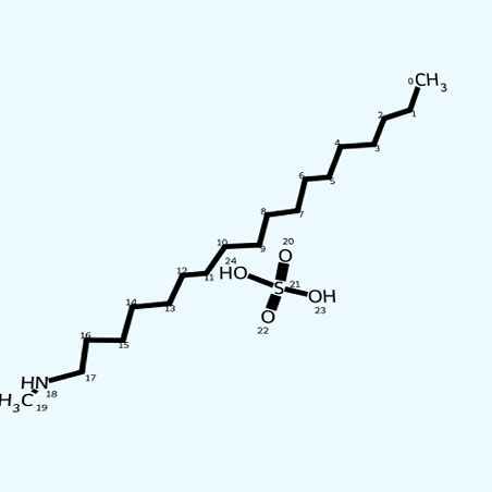 CCCCCCCCCCCCCCCCCCNC.O=S(=O)(O)O